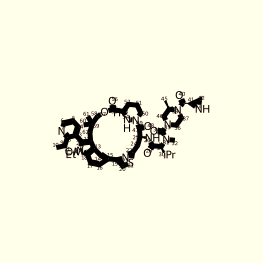 CCn1c(-c2cccnc2[C@H](C)OC)c2c3cc(ccc31)-c1csc(n1)C[C@H](NC(=O)[C@H](C(C)C)N(C)C(=O)N1CCN(C(=O)[C@@H]3CN3)[C@H](C)C1)C(=O)N1CCC[C@H](N1)C(=O)OCC(C)(C)C2